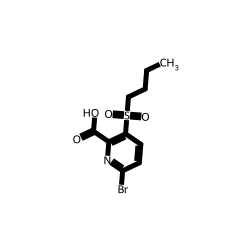 CCCCS(=O)(=O)c1ccc(Br)nc1C(=O)O